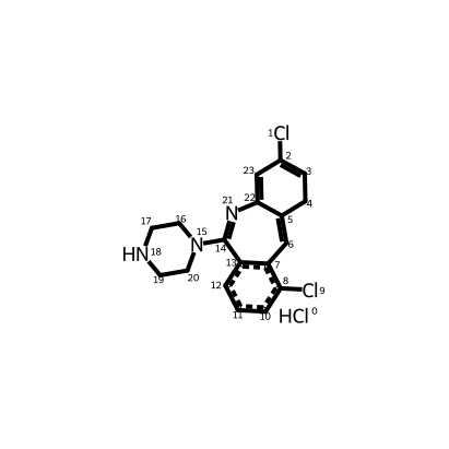 Cl.ClC1=CCC2=Cc3c(Cl)cccc3C(N3CCNCC3)=NC2=C1